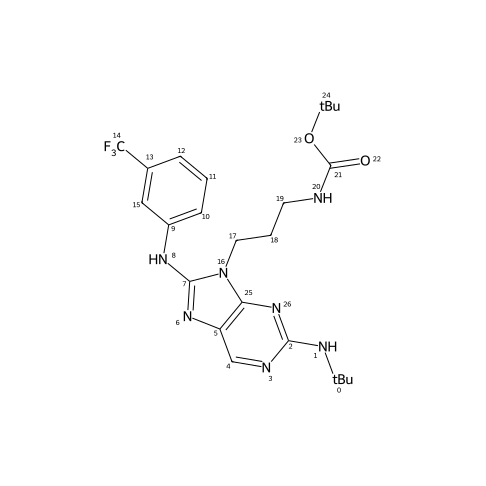 CC(C)(C)Nc1ncc2nc(Nc3cccc(C(F)(F)F)c3)n(CCCNC(=O)OC(C)(C)C)c2n1